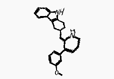 COc1cccc(C2=CCCNC2CC2CCc3[nH]c4ccccc4c3C2)c1